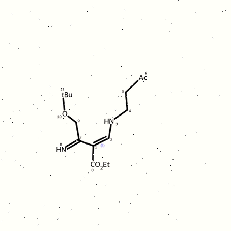 CCOC(=O)/C(=C/NCCC(C)=O)C(=N)COC(C)(C)C